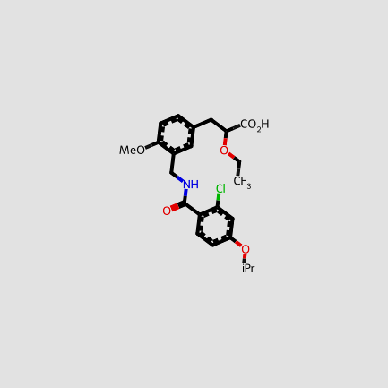 COc1ccc(CC(OCC(F)(F)F)C(=O)O)cc1CNC(=O)c1ccc(OC(C)C)cc1Cl